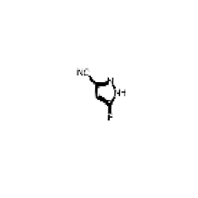 N#Cc1cc(F)[nH]n1